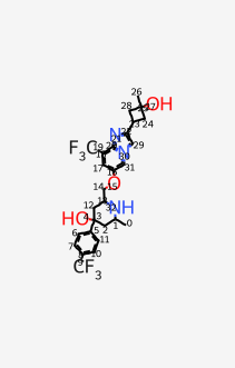 CC1CC(O)(c2ccc(C(F)(F)F)cc2)CC(COc2cc(C(F)(F)F)c3nc(C4CC(C)(O)C4)cn3c2)N1